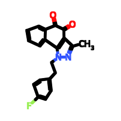 Cc1nn(CCc2ccc(F)cc2)c2c1C(=O)C(=O)c1ccccc1-2